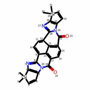 C[Si]1(C)C=Cc2c1nc1c3ccc4c5c(ccc(c(=O)n21)c35)c(=O)n1c2c(nc41)[Si](C)(C)C=C2